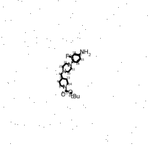 CC(C)(C)OC(=O)N1CCC(CN2CCN(c3ccc(N)cc3F)CC2)CC1